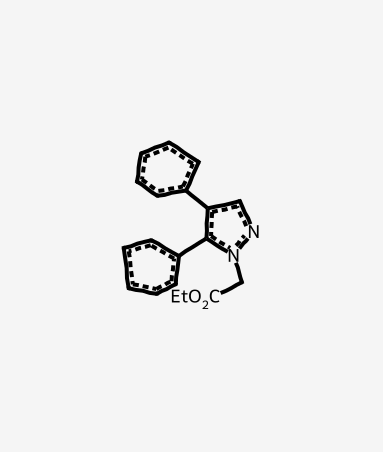 CCOC(=O)Cn1ncc(-c2ccccc2)c1-c1ccccc1